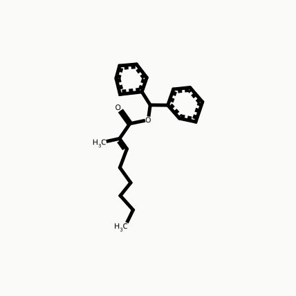 CCCCCC=C(C)C(=O)OC(c1ccccc1)c1ccccc1